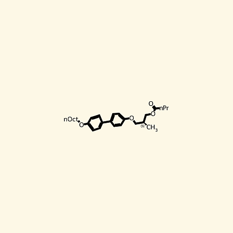 CCCCCCCCOc1ccc(-c2ccc(OC[C@H](C)COC(=O)CCC)cc2)cc1